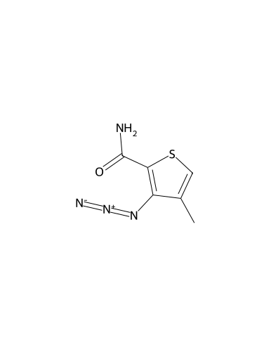 Cc1csc(C(N)=O)c1N=[N+]=[N-]